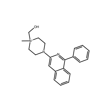 C[N+]1(CO)CCN(c2cc3ccccc3c(-c3ccccc3)n2)CC1